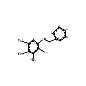 [C-]#[N+]c1c(CC)cc(OCc2ccccc2)c(F)c1CC